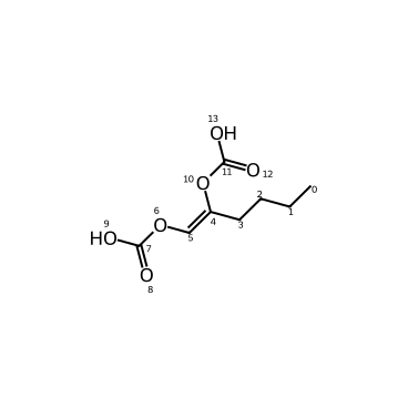 CCCC/C(=C/OC(=O)O)OC(=O)O